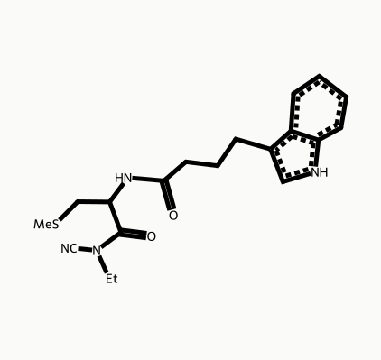 CCN(C#N)C(=O)C(CSC)NC(=O)CCCc1c[nH]c2ccccc12